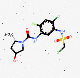 O=C(O)[C@H]1CC(O)CN1C(=O)Nc1cc(NS(=O)(=O)CCl)c(Cl)cc1F